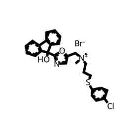 C[N+](C)(CCCSc1ccc(Cl)cc1)Cc1cnc(C2(O)c3ccccc3-c3ccccc32)o1.[Br-]